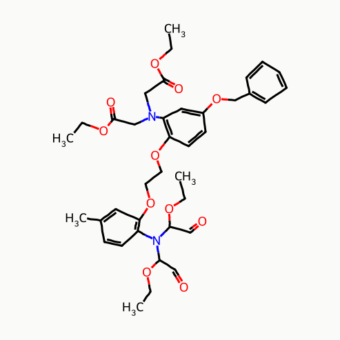 CCOC(=O)CN(CC(=O)OCC)c1cc(OCc2ccccc2)ccc1OCCOc1cc(C)ccc1N(C(C=O)OCC)C(C=O)OCC